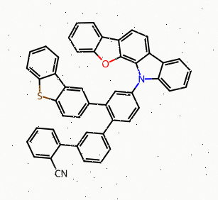 N#Cc1ccccc1-c1cccc(-c2ccc(-n3c4ccccc4c4ccc5c6ccccc6oc5c43)cc2-c2ccc3sc4ccccc4c3c2)c1